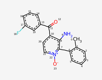 Cc1ccccc1-c1c(N)c(C(=O)c2cccc(F)c2)cc[n+]1[O-]